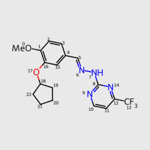 COc1ccc(C=NNc2nccc(C(F)(F)F)n2)cc1OC1CCCC1